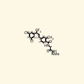 CNNC(=O)CNC(=O)c1ccc(/C=C/C(c2cc(Cl)cc(Cl)c2)C(F)(F)F)cc1C